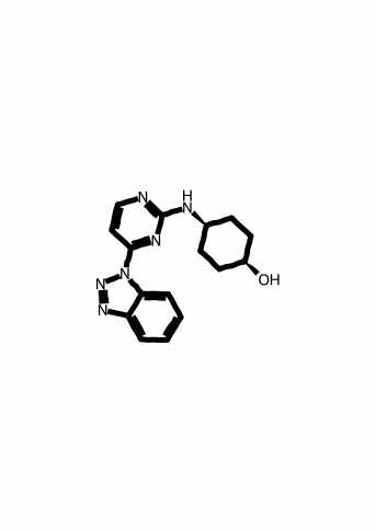 O[C@H]1CC[C@@H](Nc2nccc(-n3nnc4ccccc43)n2)CC1